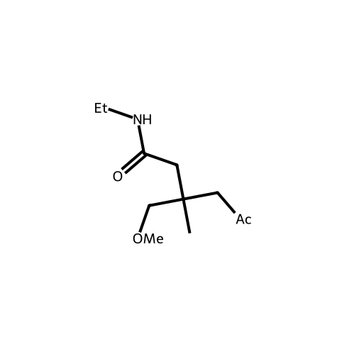 CCNC(=O)CC(C)(COC)CC(C)=O